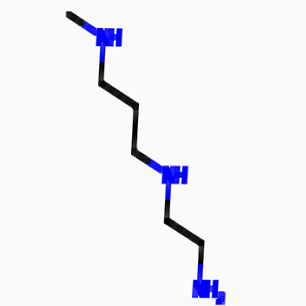 CNCCCNCCN